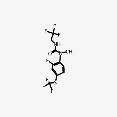 CN(C(=O)NCC(F)(F)F)c1ccc(SC(F)(F)F)cc1F